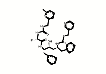 Cc1cccc(CNC(=O)N[C@H](C(=O)N[C@@H](Cc2ccccc2)[C@@H](O)C[C@H](Cc2ccccc2)NC(=O)OCc2cccnc2)C(C)C)n1